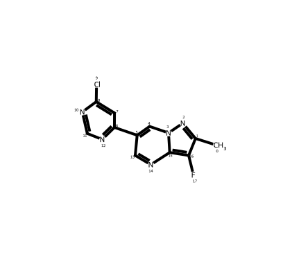 Cc1nn2cc(-c3cc(Cl)ncn3)cnc2c1F